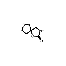 O=C1NCC2(CCOC2)O1